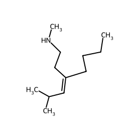 CCCC/C(=C/C(C)C)CCNC